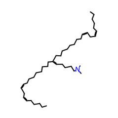 CCCCC/C=C\C/C=C\CCCCCCCCC(=CCCCCN(C)C)CCCCCCCC/C=C\C/C=C\CCCCC